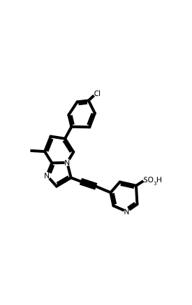 Cc1cc(-c2ccc(Cl)cc2)cn2c(C#Cc3cncc(S(=O)(=O)O)c3)cnc12